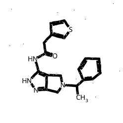 CC(c1ccccc1)N1Cc2n[nH]c(NC(=O)Cc3ccsc3)c2C1